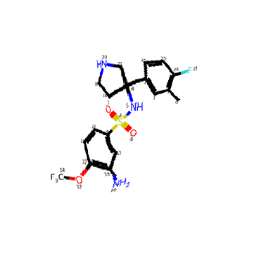 Cc1cc(C2(NS(=O)(=O)c3ccc(OC(F)(F)F)c(N)c3)CCNC2)ccc1F